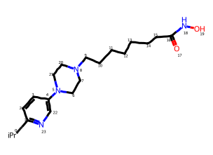 CC(C)c1ccc(N2CCN(CCCCCCCC(=O)NO)CC2)cn1